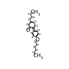 CCCCCCOc1ccc([C@@H]2CC[C@@H](CCCC)CC2=O)cc1